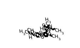 CCCc1nc(C)c2c(=O)[nH]c(-c3cc(S(=O)(=O)N4CCN(CC(=O)NC(C)C)CC4)ccc3OCC)nn12